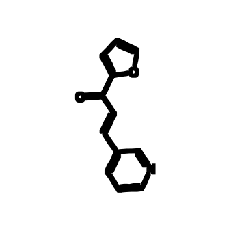 O=C(C=Cc1cccnc1)c1ccco1